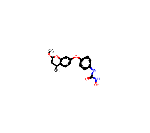 COC1CC(C)c2ccc(Oc3ccc(NC(=O)NO)cc3)cc2O1